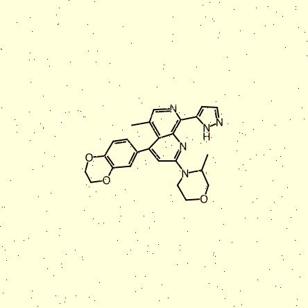 Cc1cnc(-c2ccn[nH]2)c2nc(N3CCOCC3C)cc(-c3ccc4c(c3)OCCO4)c12